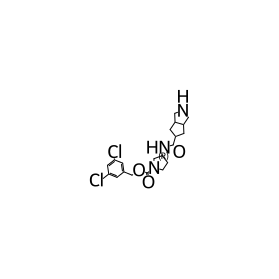 O=C(N[C@@H]1CCN(C(=O)OCc2cc(Cl)cc(Cl)c2)C1)C1CC2CNCC2C1